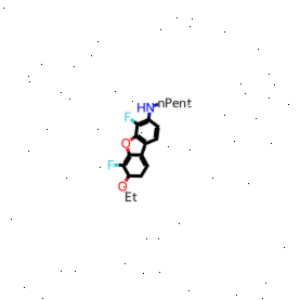 CCCCCNc1ccc2c3c(oc2c1F)=C(F)C(OCC)CC=3